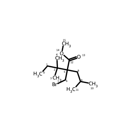 CCC(C)(C)C(CBr)(CC(C)C)C(=O)OC